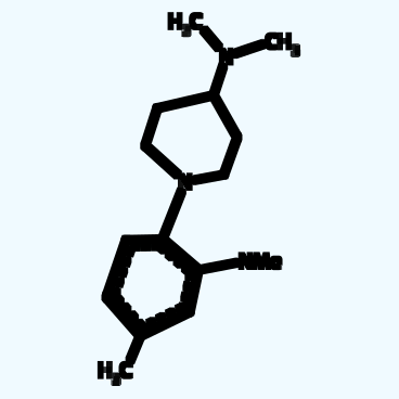 CNc1cc(C)ccc1N1CCC(N(C)C)CC1